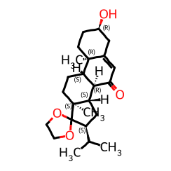 CC(C)[C@@H]1C[C@H]2[C@@H]3C(=O)C=C4C[C@H](O)CC[C@]4(C)[C@H]3CC[C@]2(C)C12OCCO2